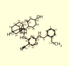 CSc1ccccc1CNc1ncc(C#N)c(NC[C@@]23CC4C[C@H](C2)[C@@H](NC2CCC(O)CC2)[C@@H](C4)C3)n1